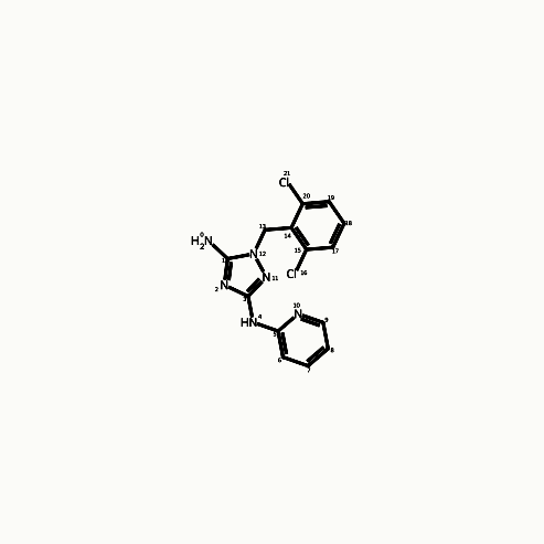 Nc1nc(Nc2ccccn2)nn1Cc1c(Cl)cccc1Cl